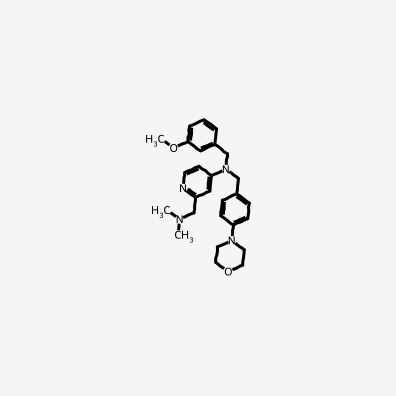 COc1cccc(CN(Cc2ccc(N3CCOCC3)cc2)c2ccnc(CN(C)C)c2)c1